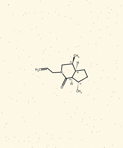 C=CCN1C[C@@H](C)[C@H]2CC[C@H](C)[C@H]2C1=O